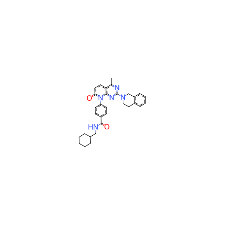 Cc1nc(N2CCc3ccccc3C2)nc2c1ccc(=O)n2-c1ccc(C(=O)NCC2CCCCC2)cc1